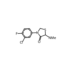 CNC1SCN(c2ccc(F)c(Cl)c2)C1=O